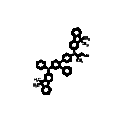 CCC/C=C(\C)N(c1ccc(-c2ccc(N(c3ccccc3)c3ccc4c(c3)C(C)(C)c3ccccc3-4)cc2-c2ccccc2)cc1)c1ccc2c(c1)C(C)(C)c1ccccc1-2